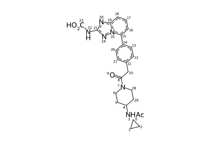 C1CC1.CC(=O)NC1CCN(C(=O)Cc2ccc(-c3cccc4nc(NC(=O)O)nn34)cc2)CC1